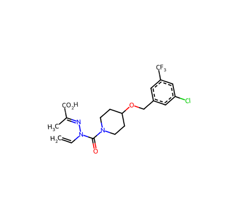 C=CN(/N=C(\C)C(=O)O)C(=O)N1CCC(OCc2cc(Cl)cc(C(F)(F)F)c2)CC1